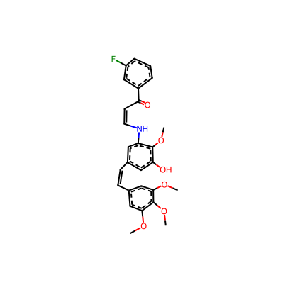 COc1cc(/C=C\c2cc(O)c(OC)c(N/C=C\C(=O)c3cccc(F)c3)c2)cc(OC)c1OC